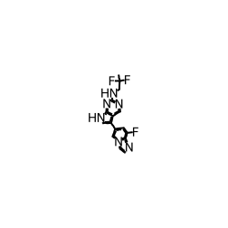 CC(F)(F)CNc1ncc2c(-c3cc(F)c4nccn4c3)c[nH]c2n1